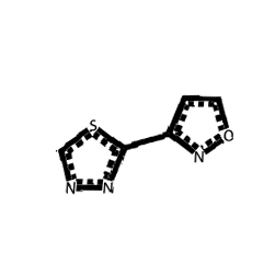 [c]1nnc(-c2ccon2)s1